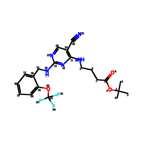 CC(C)(C)OC(=O)CCCNc1nc(NCc2ccccc2OC(F)(F)F)ncc1C#N